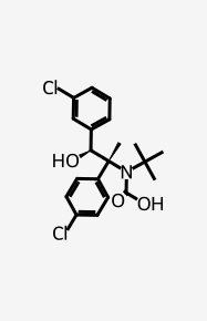 CC(C)(C)N(C(=O)O)[C@](C)(c1ccc(Cl)cc1)[C@@H](O)c1cccc(Cl)c1